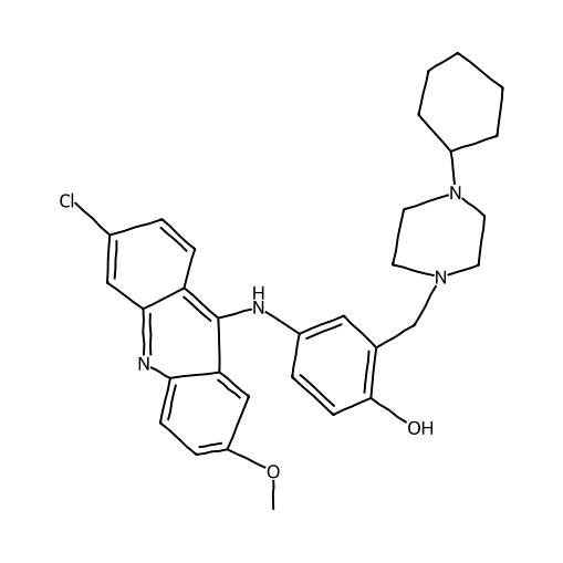 COc1ccc2nc3cc(Cl)ccc3c(Nc3ccc(O)c(CN4CCN(C5CCCCC5)CC4)c3)c2c1